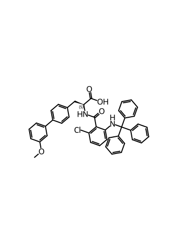 COc1cccc(-c2ccc(C[C@H](NC(=O)c3c(Cl)cccc3NC(c3ccccc3)(c3ccccc3)c3ccccc3)C(=O)O)cc2)c1